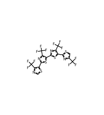 FC(F)(F)c1csc(-c2sc(-c3sc(-c4scnc4C(F)(F)F)nc3C(F)(F)F)nc2C(F)(F)F)n1